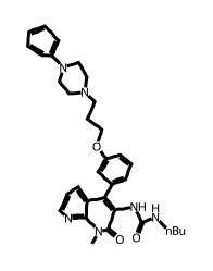 CCCCNC(=O)Nc1c(-c2cccc(OCCCN3CCN(c4ccccc4)CC3)c2)c2cccnc2n(C)c1=O